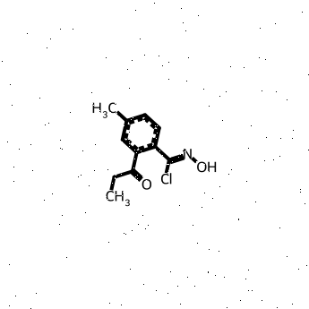 CCC(=O)c1cc(C)ccc1C(Cl)=NO